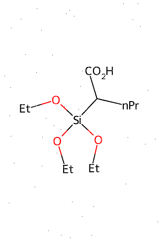 CCCC(C(=O)O)[Si](OCC)(OCC)OCC